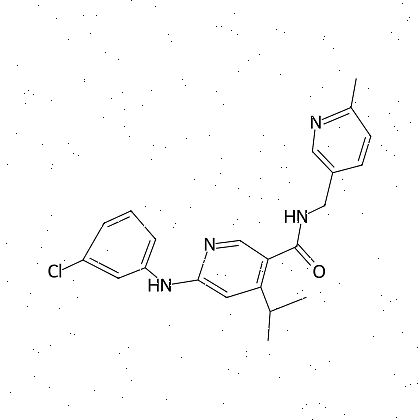 Cc1ccc(CNC(=O)c2cnc(Nc3cccc(Cl)c3)cc2C(C)C)cn1